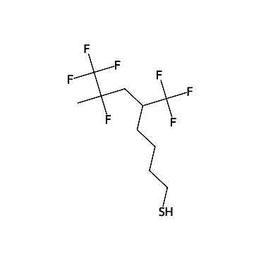 CC(F)(CC(CCCCS)C(F)(F)F)C(F)(F)F